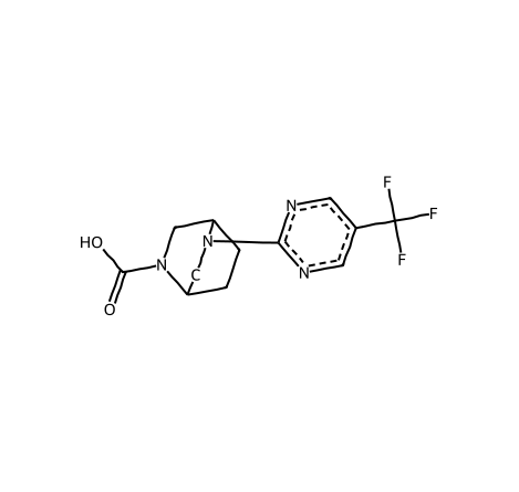 O=C(O)N1CC2CCC1CN2c1ncc(C(F)(F)F)cn1